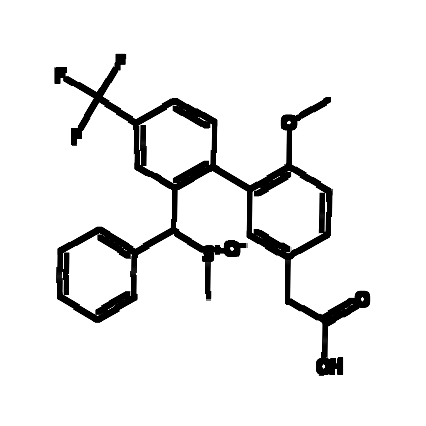 COc1ccc(CC(=O)O)cc1-c1ccc(C(F)(F)F)cc1C(c1ccccc1)[S+](C)[O-]